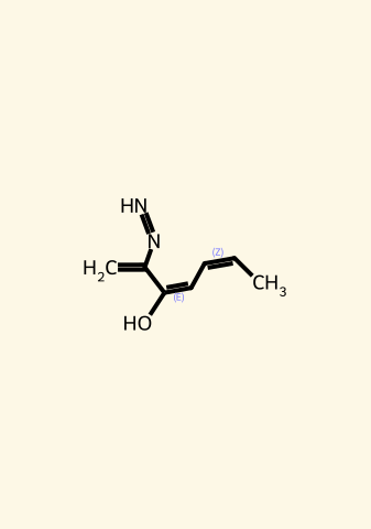 C=C(N=N)/C(O)=C\C=C/C